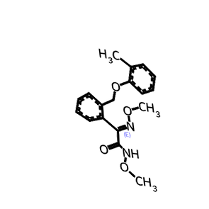 CO/N=C(/C(=O)NOC)c1ccccc1COc1ccccc1C